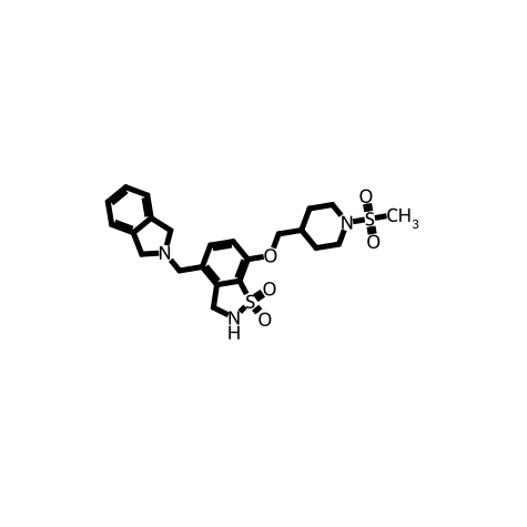 CS(=O)(=O)N1CCC(COc2ccc(CN3Cc4ccccc4C3)c3c2S(=O)(=O)NC3)CC1